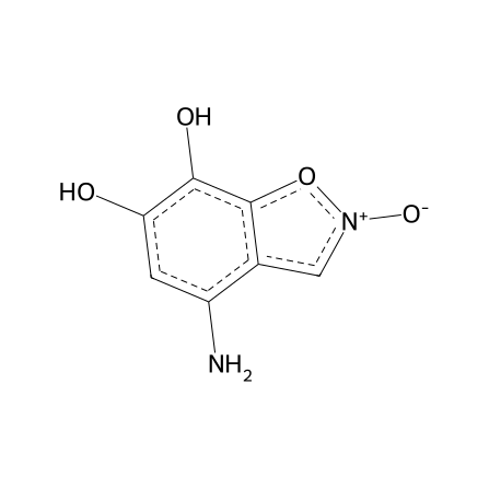 Nc1cc(O)c(O)c2o[n+]([O-])cc12